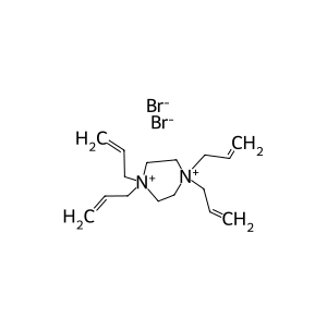 C=CC[N+]1(CC=C)CC[N+](CC=C)(CC=C)CC1.[Br-].[Br-]